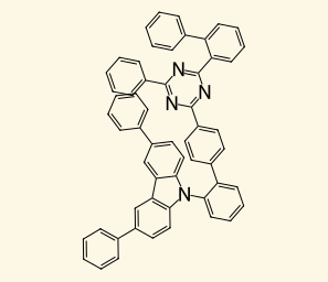 c1ccc(-c2ccc3c(c2)c2cc(-c4ccccc4)ccc2n3-c2ccccc2-c2ccc(-c3nc(-c4ccccc4)nc(-c4ccccc4-c4ccccc4)n3)cc2)cc1